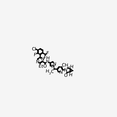 CCc1ncc(-c2c(C(F)F)ccc(Cl)c2F)nc1C(=O)Nc1cnn(C(C)c2cnc(N3C[C@H]4C[C@H]4C3=O)c(C)c2)c1